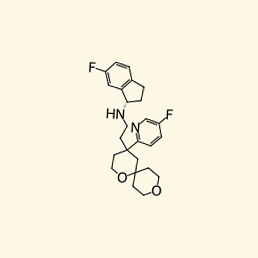 Fc1ccc(C2(CCN[C@H]3CCc4ccc(F)cc43)CCOC3(CCOCC3)C2)nc1